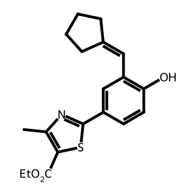 CCOC(=O)c1sc(-c2ccc(O)c(C=C3CCCC3)c2)nc1C